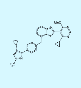 COc1ncnc(C2CC2)c1-c1nc2cccc(Cc3ccc(-c4nc(C(F)(F)F)cn4C4CC4)cc3)c2o1